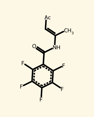 CC(=O)C=C(C)NC(=O)c1c(F)c(F)c(F)c(F)c1F